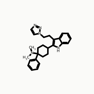 CN(C)C1(c2ccccc2)CCC(c2[nH]c3ccccc3c2CCn2ccnn2)CC1